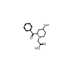 COC1CCN(CC(=O)O)C(C(=O)c2ccccc2)C1